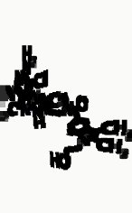 C=C(/N=C1\NCC2(CCN(C(=O)c3ccc4c(c3)c(C)c(C)n4CCO)CC2)N1)c1nc(Cl)c(N)nc1N